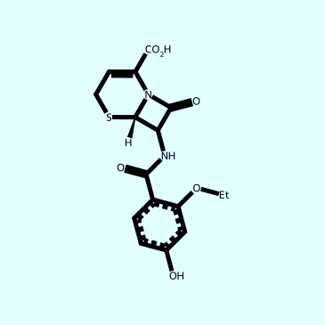 CCOc1cc(O)ccc1C(=O)NC1C(=O)N2C(C(=O)O)=CCS[C@@H]12